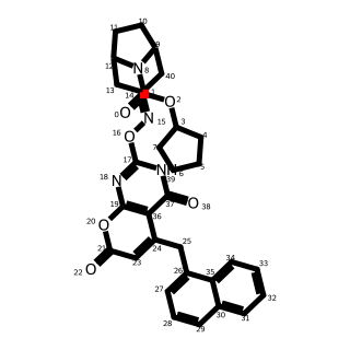 O=C(OC1CCCC1)N1C2CCC1CC(=NOc1nc3oc(=O)cc(Cc4cccc5ccccc45)c3c(=O)[nH]1)C2